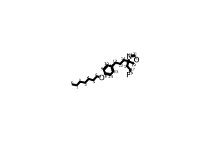 CCCCCCCOc1ccc(CCCC2(CCF)COC=N2)cc1